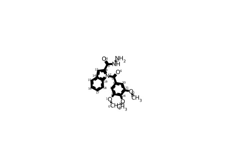 COc1cc(C(=O)n2c(C(=O)NN)cc3ccccc32)cc(OC)c1OC